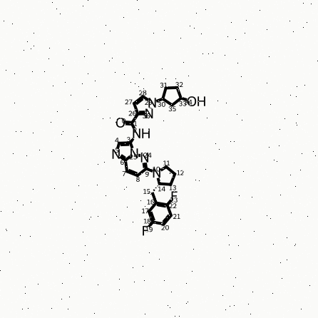 O=C(Nc1cnc2ccc(N3CCC[C@@H]3Cc3cc(F)ccc3F)nn12)c1ccn(C2CCC(O)C2)n1